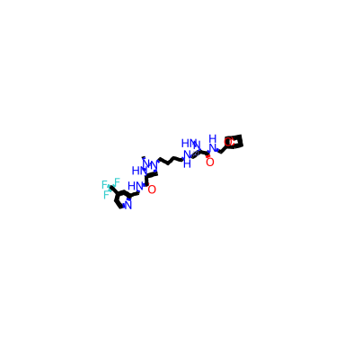 CN1NC(C(=O)NCc2cc(C(F)(F)F)ccn2)=CN1CCCCN/C=C(\N=N)C(=O)NCc1cc2ccc1o2